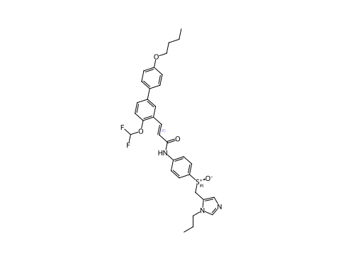 CCCCOc1ccc(-c2ccc(OC(F)F)c(/C=C/C(=O)Nc3ccc([S@@+]([O-])Cc4cncn4CCC)cc3)c2)cc1